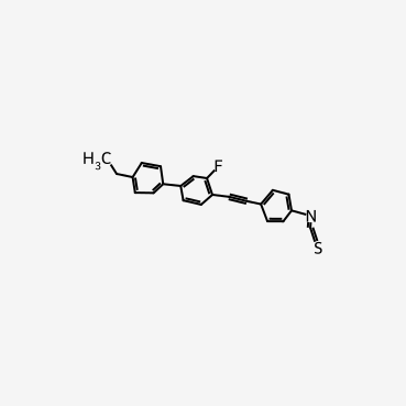 CCc1ccc(-c2ccc(C#Cc3ccc(N=C=S)cc3)c(F)c2)cc1